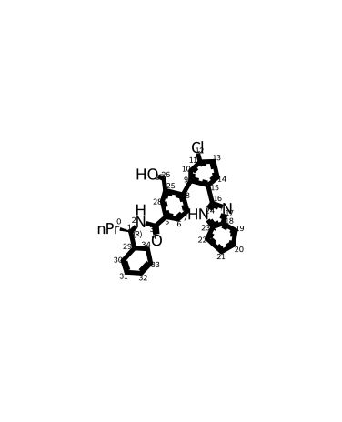 CCC[C@@H](NC(=O)c1ccc(-c2cc(Cl)ccc2-c2nc3ccccc3[nH]2)c(CO)c1)C1C=CC=CC1